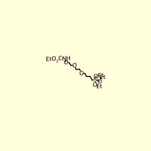 CCOC(=O)NOCCOCCOCCCC[Si](OCC)(OCC)OCC